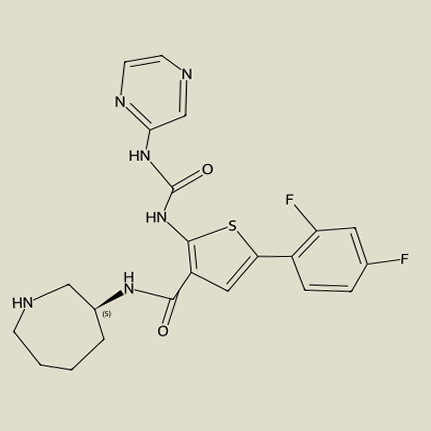 O=C(Nc1cnccn1)Nc1sc(-c2ccc(F)cc2F)cc1C(=O)N[C@H]1CCCCNC1